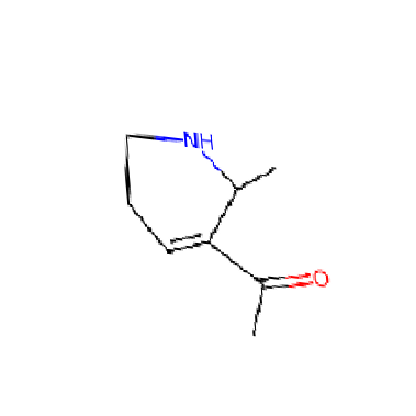 CC(=O)C1=CCCNC1C